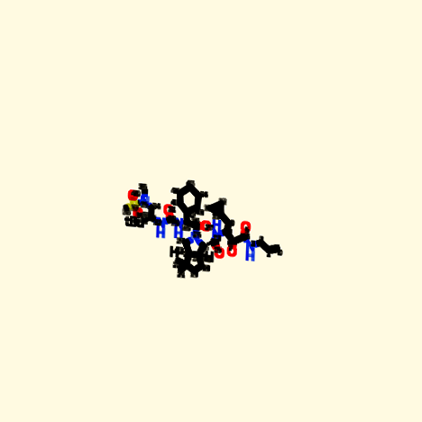 C=CCNC(=O)C(=O)C(CC1CC1)NC(=O)[C@@H]1[C@H]2CCC(C)(C)[C@H]2CN1C(=O)[C@@H](NC(=O)N[C@H](CN(C)S(C)(=O)=O)C(C)(C)C)C1CCCCC1